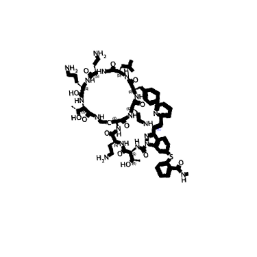 CNC(=O)c1ccccc1Sc1ccc2c(/C=C/c3ccccn3)nn(C(=O)N[C@H](C(=O)N[C@@H](CCN)C(=O)N[C@H]3CCNC(=O)[C@H]([C@@H](C)O)NC(O)[C@H](CCCN)NC(=O)[C@H](CCN)NC(=O)[C@H](CC(C)C)NC(=O)[C@@H](Cc4ccccc4)NC(=O)[C@H](CCN)NC3=O)[C@@H](C)O)c2c1